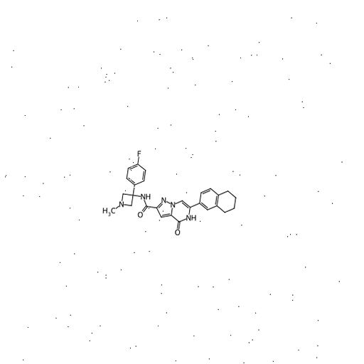 CN1CC(NC(=O)c2cc3c(=O)[nH]c(-c4ccc5c(c4)CCCC5)cn3n2)(c2ccc(F)cc2)C1